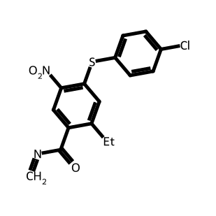 C=NC(=O)c1cc([N+](=O)[O-])c(Sc2ccc(Cl)cc2)cc1CC